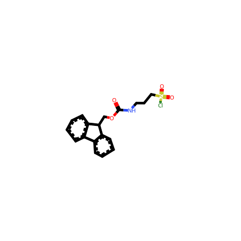 O=C(NCCCS(=O)(=O)Cl)OCC1c2ccccc2-c2ccccc21